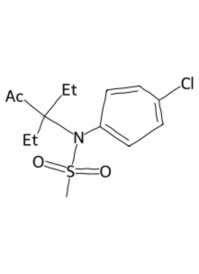 CCC(CC)(C(C)=O)N(c1ccc(Cl)cc1)S(C)(=O)=O